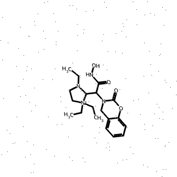 CCN1CC[N+](CC)(CC)C1C(C(=O)NO)N1Cc2ccccc2OC1=O